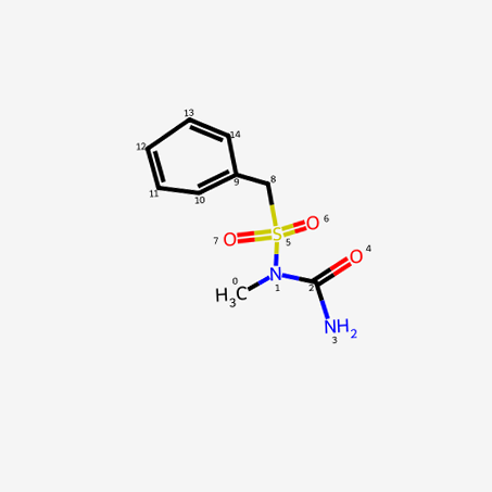 CN(C(N)=O)S(=O)(=O)Cc1ccccc1